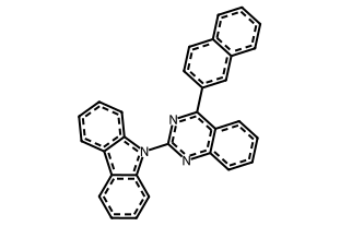 c1ccc2cc(-c3nc(-n4c5ccccc5c5ccccc54)nc4ccccc34)ccc2c1